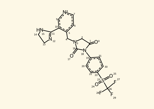 O=C1CN(Cc2ccncc2C2=NCCN2)C(=O)N1c1ccc(S(=O)(=O)C(F)(F)F)cc1